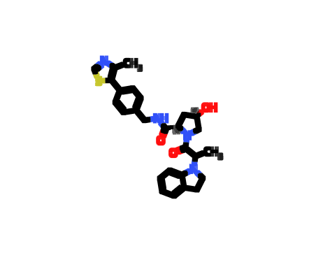 Cc1ncsc1-c1ccc(CNC(=O)[C@@H]2C[C@@H](O)CN2C(=O)C(C)N2CCc3ccccc32)cc1